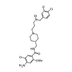 CCN(CCCN1CCC(CNC(=O)c2cc(Cl)c(N)cc2OC)CC1)Cc1ccc(Cl)c(Cl)c1